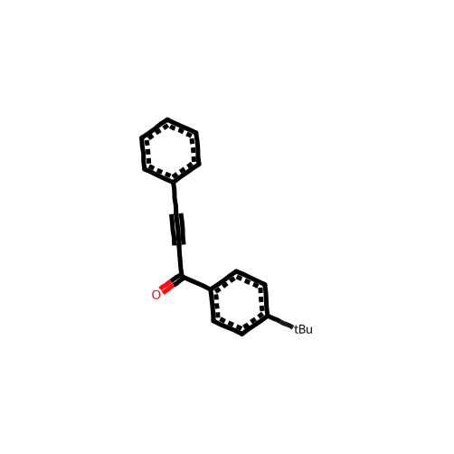 CC(C)(C)c1ccc(C(=O)C#Cc2ccccc2)cc1